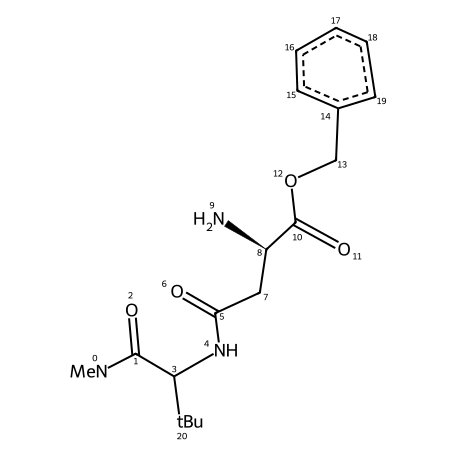 CNC(=O)C(NC(=O)C[C@@H](N)C(=O)OCc1ccccc1)C(C)(C)C